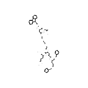 CCCCOC(=O)CCC(NC(=O)C(CCC(=O)NC(CCC(=O)OCc1ccccc1)C(=O)OCc1ccccc1)NC(=O)COCCOCCNC(=O)CC(NC(=O)OCC1c2ccccc2-c2ccccc21)C(=O)NCC(=O)OC(C)(C)C)C(=O)OCCCC